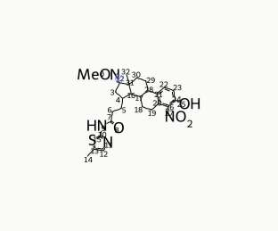 CO/N=C1\CC(CCC(=O)Nc2ncc(C)s2)C2C3CCc4c(ccc(O)c4[N+](=O)[O-])C3CCC12C